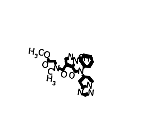 COC(=O)CN(C)C(=O)c1cnn(C)c1C(=O)N(c1ccccc1)c1ccn2ncnc2c1